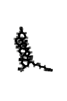 COCCOCCN1C[C@@H](C)C[C@H]2O[C@@]34CC[C@H]5[C@@H]6CCC7=CC(=O)CC[C@]7(C)[C@H]6CC56CC63C[C@@H]4[C@@H]21